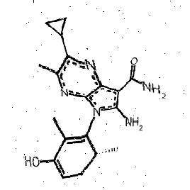 CC1=C(n2c(N)c(C(N)=O)c3nc(C4CC4)c(C)nc32)[C@H](C)CC=C1O